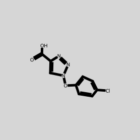 O=C(O)c1cn(Oc2ccc(Cl)cc2)nn1